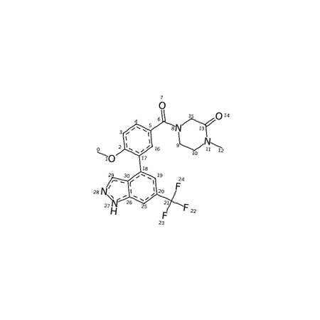 COc1ccc(C(=O)N2CCN(C)C(=O)C2)cc1-c1cc(C(F)(F)F)cc2[nH]ncc12